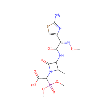 CON=C(C(=O)NC1C(=O)N(C(C(=O)O)P(=O)(OC)OC)C1C)c1csc(N)n1